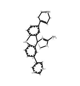 NC1=N[C@]2(CO1)c1cc(C3=CCNCC3)ccc1Oc1ccc(-c3cncnc3)cc12